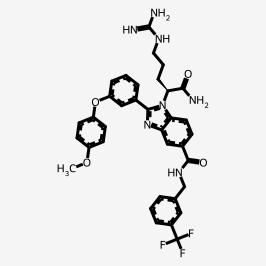 COc1ccc(Oc2cccc(-c3nc4cc(C(=O)NCc5cccc(C(F)(F)F)c5)ccc4n3[C@@H](CCCNC(=N)N)C(N)=O)c2)cc1